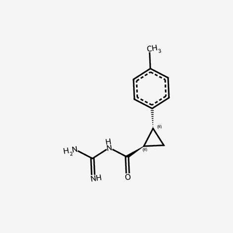 Cc1ccc([C@@H]2C[C@H]2C(=O)NC(=N)N)cc1